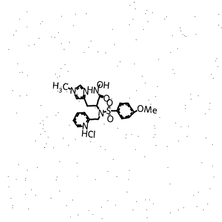 COc1ccc(S(=O)(=O)N(Cc2ccccn2)C(Cc2cn(C)cn2)C(=O)NO)cc1.Cl